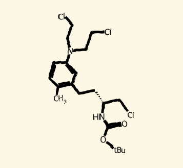 Cc1ccc(N(CCCl)CCCl)cc1CC[C@H](CCl)NC(=O)OC(C)(C)C